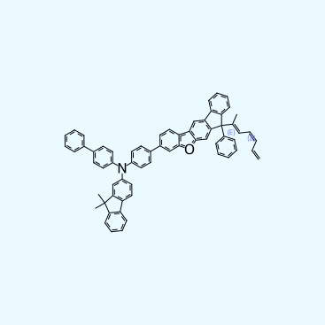 C=C/C=C\C=C(/C)C1(c2ccccc2)c2ccccc2-c2cc3c(cc21)oc1cc(-c2ccc(N(c4ccc(-c5ccccc5)cc4)c4ccc5c(c4)C(C)(C)c4ccccc4-5)cc2)ccc13